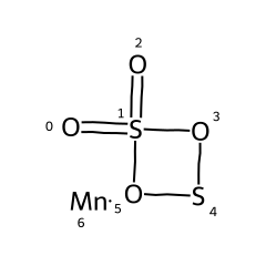 O=S1(=O)OSO1.[Mn]